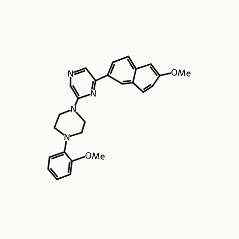 COc1ccc2cc(-c3cncc(N4CCN(c5ccccc5OC)CC4)n3)ccc2c1